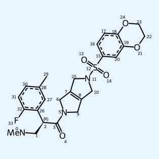 CNC[C@H](C(=O)N1CC2=C(C1)CN(S(=O)(=O)c1ccc3c(c1)OCCO3)C2)c1cc(C)ccc1F